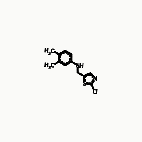 Cc1ccc(NCc2cnc(Cl)s2)cc1C